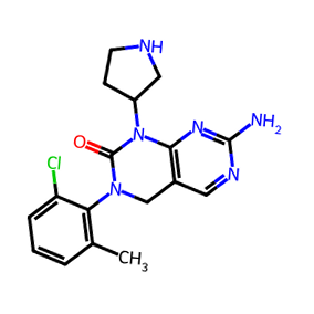 Cc1cccc(Cl)c1N1Cc2cnc(N)nc2N(C2CCNC2)C1=O